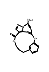 CNc1cc2nc3c(cnn13)C(=O)NCCCc1cccc(c1)N2